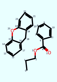 CCCOC(=O)c1ccccc1.c1ccc2c(c1)Cc1ccccc1O2